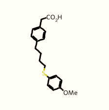 COc1ccc(SCCCCc2ccc(CC(=O)O)cc2)cc1